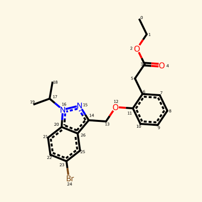 CCOC(=O)Cc1ccccc1OCc1nn(C(C)C)c2ccc(Br)cc12